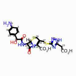 Nc1ccc(C(O)C(=O)NC2C(=O)N3C(C(=O)O)=C(CSc4n[nH]c(CC(=O)O)n4)CS[C@@H]23)cc1